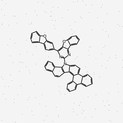 c1ccc2c(c1)ccc1c3c4c5ccccc5c5ccccc5c4ccc3n(-c3nc(-c4ccc5c(c4)oc4ccccc45)c4oc5ccccc5c4n3)c21